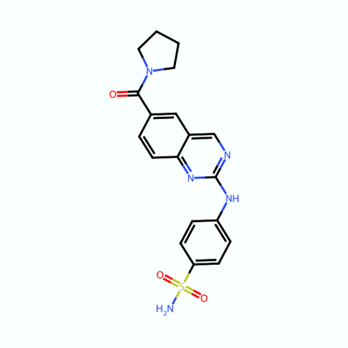 NS(=O)(=O)c1ccc(Nc2ncc3cc(C(=O)N4CCCC4)ccc3n2)cc1